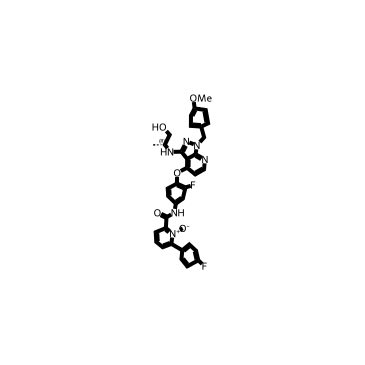 COc1ccc(Cn2nc(N[C@H](C)CO)c3c(Oc4ccc(NC(=O)c5cccc(-c6ccc(F)cc6)[n+]5[O-])cc4F)ccnc32)cc1